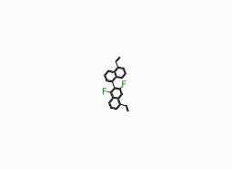 C=Cc1cccc2c(-c3c(F)cc4c(C=C)cccc4c3F)cccc12